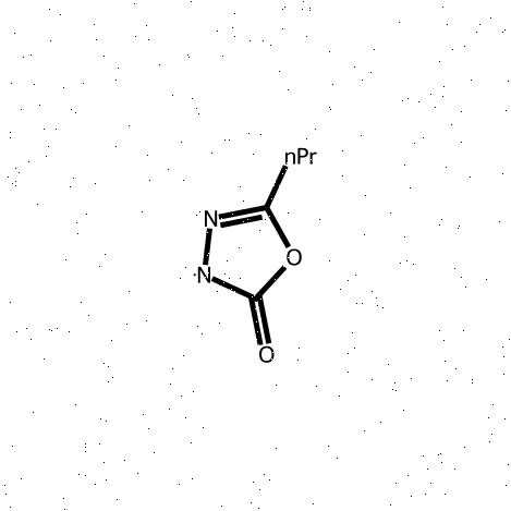 CCCC1=N[N]C(=O)O1